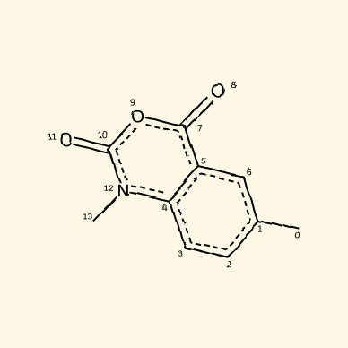 Cc1ccc2c(c1)c(=O)oc(=O)n2C